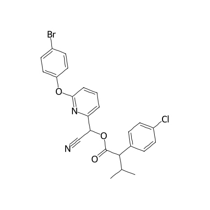 CC(C)C(C(=O)OC(C#N)c1cccc(Oc2ccc(Br)cc2)n1)c1ccc(Cl)cc1